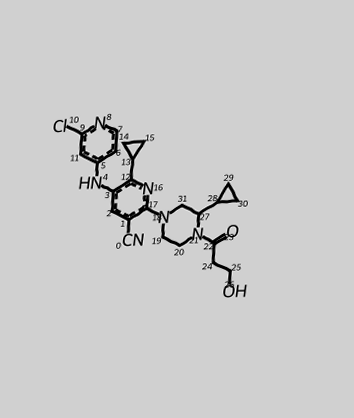 N#Cc1cc(Nc2ccnc(Cl)c2)c(C2CC2)nc1N1CCN(C(=O)CCO)C(C2CC2)C1